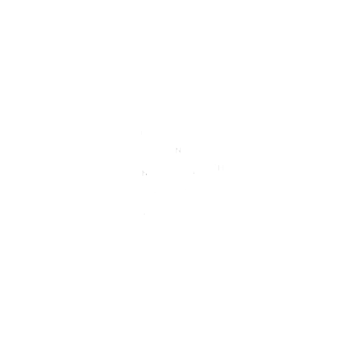 CCC1=NC2CCCCC2C(C)=N1